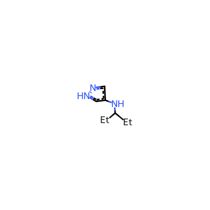 CCC(CC)Nc1cn[nH]c1